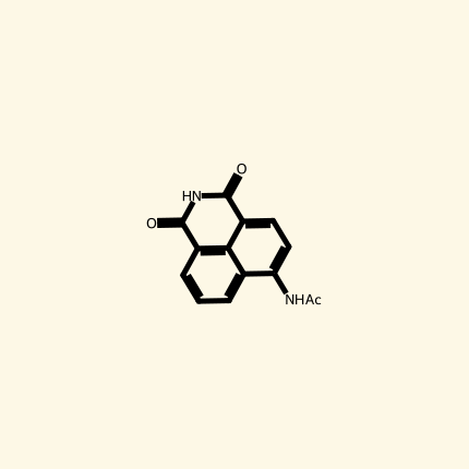 CC(=O)Nc1ccc2c3c(cccc13)C(=O)NC2=O